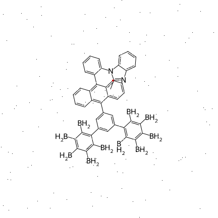 Bc1c(B)c(B)c(-c2cc(-c3c(B)c(B)c(B)c(B)c3B)cc(-c3c4ccccc4c(-c4ccccc4-n4c(C)nc5ccccc54)c4ccccc34)c2)c(B)c1B